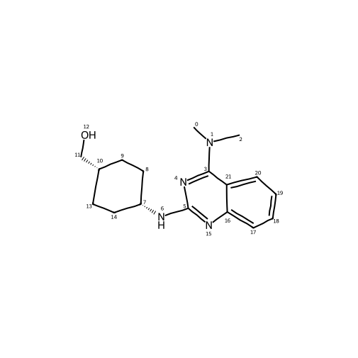 CN(C)c1nc(N[C@H]2CC[C@@H](CO)CC2)nc2ccccc12